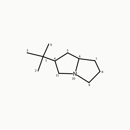 CC(C)(C)C1CC2CCCN2C1